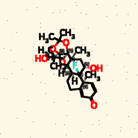 CC1(C)O[C@@H]2C[C@H]3[C@@H]4CCC5=CC(=O)C=C[C@]5(C)[C@@]4(F)[C@@H](O)C[C@]3(C)[C@]2(C(=O)C(C)(C)O)O1